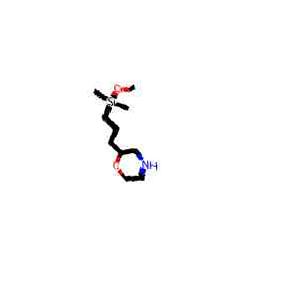 CO[Si](C)(C)CCCC1CNCCO1